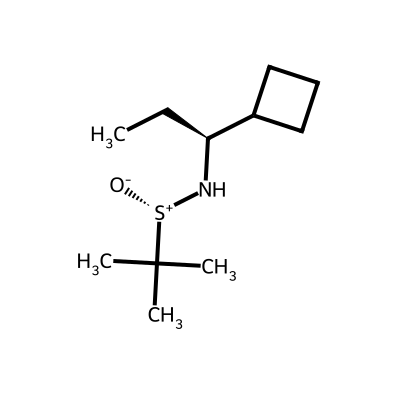 CC[C@H](N[S@@+]([O-])C(C)(C)C)C1CCC1